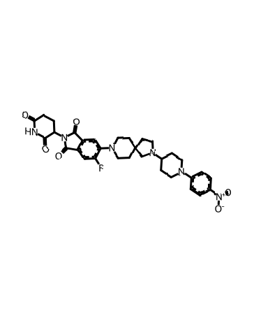 O=C1CCC(N2C(=O)c3cc(F)c(N4CCC5(CC4)CCN(C4CCN(c6ccc([N+](=O)[O-])cc6)CC4)C5)cc3C2=O)C(=O)N1